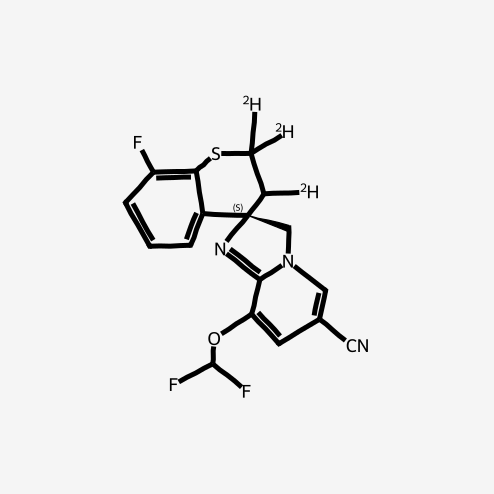 [2H]C1C([2H])([2H])Sc2c(F)cccc2[C@]12CN1C=C(C#N)C=C(OC(F)F)C1=N2